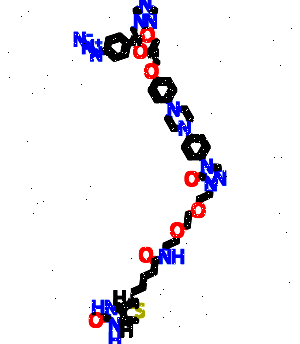 [N-]=[N+]=Nc1ccc([C@]2(Cn3cncn3)OC[C@@H](COc3ccc(N4CCN(c5ccc(-n6cnn(CCOCCOCCNC(=O)CCCC[C@@H]7SC[C@@H]8NC(=O)N[C@@H]87)c6=O)cc5)CC4)cc3)O2)cc1